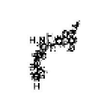 CCOCOc1ccc(OC)c(F)c1C(=O)c1ccc(C(=O)N[C@@H]2CN(C(=O)OC(C)(C)COC(=O)c3ccnc4[nH]ccc34)C[C@H]2N)cc1